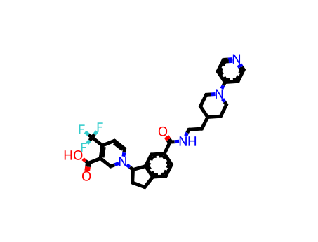 O=C(O)C1=C(C(F)(F)F)C=CN(C2CCc3ccc(C(=O)NCCC4CCN(c5ccncc5)CC4)cc32)C1